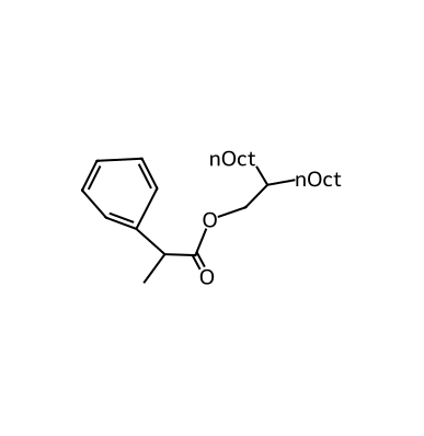 CCCCCCCCC(CCCCCCCC)COC(=O)C(C)c1ccccc1